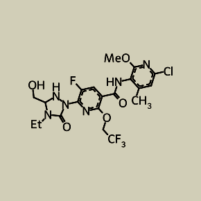 CCN1C(=O)N(c2nc(OCC(F)(F)F)c(C(=O)Nc3c(C)cc(Cl)nc3OC)cc2F)NC1CO